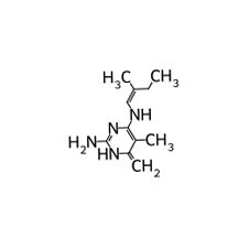 C=C1NC(N)=NC(N/C=C(/C)CC)=C1C